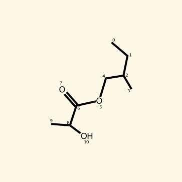 CCC(C)COC(=O)C(C)O